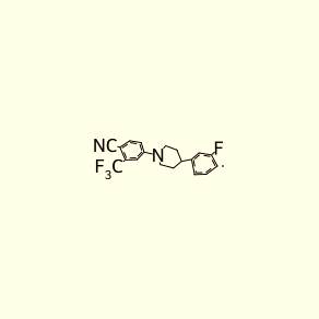 N#Cc1ccc(N2CCC(c3cc[c]c(F)c3)CC2)cc1C(F)(F)F